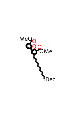 CCCCCCCCCCCCCCCCCC/C=C/c1cc(C(=O)OC)c2oc3c(C(=O)OC)cccc3c2c1